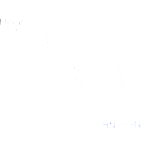 O=C(O)C=Cc1ccc2cn[nH]c2c1